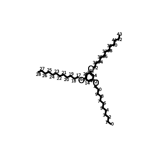 CCCCCCCCCCCCOc1cc(OCCCCCCCCCCCC)cc(OCCCCCCCCCCCC)c1